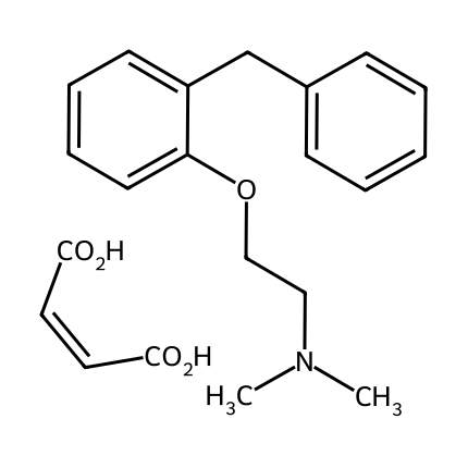 CN(C)CCOc1ccccc1Cc1ccccc1.O=C(O)/C=C\C(=O)O